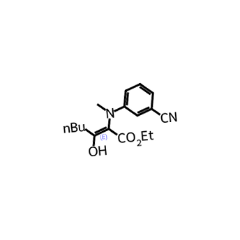 CCCC/C(O)=C(/C(=O)OCC)N(C)c1cccc(C#N)c1